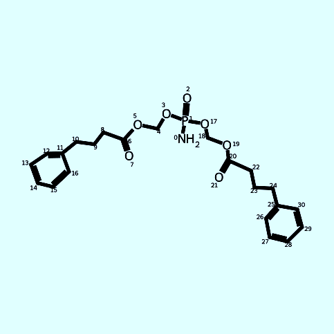 NP(=O)(OCOC(=O)CCCc1ccccc1)OCOC(=O)CCCc1ccccc1